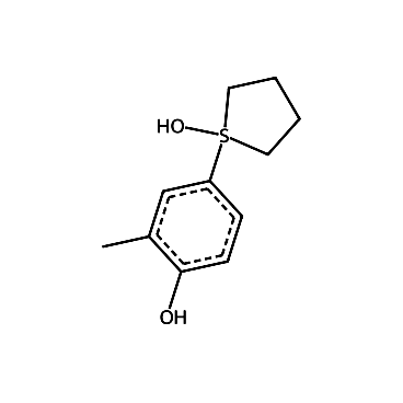 Cc1cc(S2(O)CCCC2)ccc1O